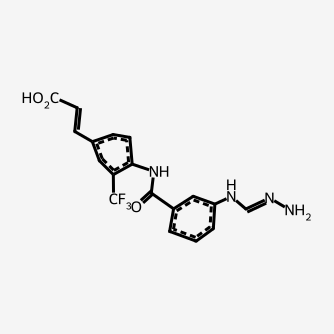 NN=CNc1cccc(C(=O)Nc2ccc(C=CC(=O)O)cc2C(F)(F)F)c1